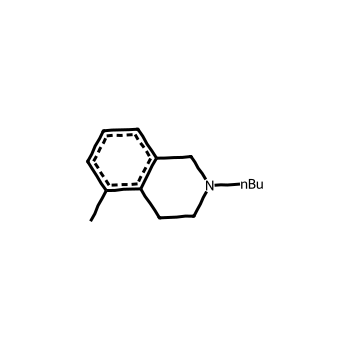 CCCCN1CCc2c(C)cccc2C1